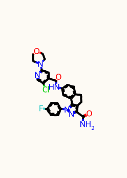 NC(=O)c1nn(-c2ccc(F)cc2)c2c1CCc1ccc(NC(=O)c3cc(N4CCOCC4)ncc3Cl)cc1-2